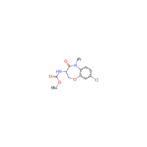 CC(C)N1C(=O)C(NC(=O)OC(C)(C)C)COc2cc(Cl)ccc21